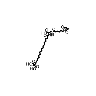 CC1CC(=O)N(CCCCCC(=O)NCC(NC(=O)CCCCCCCCCCCCCCCCCC(C)(C(=O)O)C(=O)O)C(=O)O)C1=O